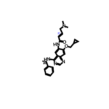 C[C@@H](Nc1ncnc2cc(OCC3CC3)c(NC(=O)/C=C/CN(C)C)cc12)c1ccccc1